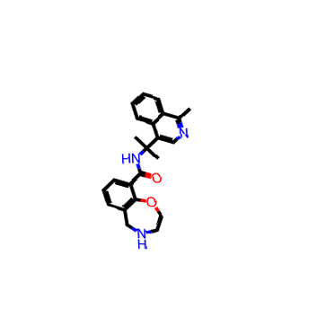 Cc1ncc(C(C)(C)NC(=O)c2cccc3c2OCCNC3)c2ccccc12